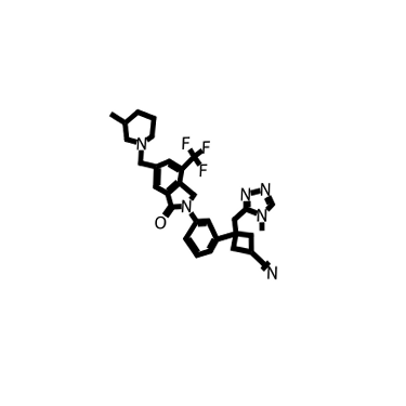 CC1CCCN(Cc2cc3c(c(C(F)(F)F)c2)CN(c2cccc(C4(Cc5nncn5C)CC(C#N)C4)c2)C3=O)C1